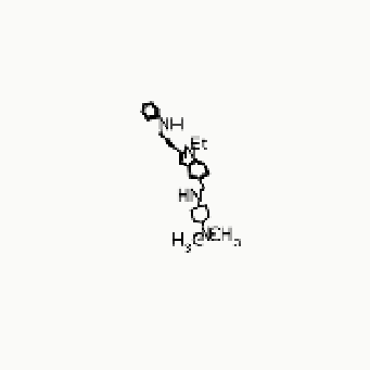 CCn1c(C#CCNc2ccccc2)cc2cc(CNC3CCC(N(C)C)CC3)ccc21